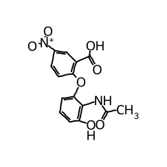 CC(=O)Nc1c(O)cccc1Oc1ccc([N+](=O)[O-])cc1C(=O)O